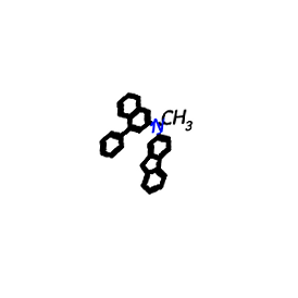 CN(c1ccc2c(c1)Cc1ccccc1-2)c1cc2c(c(-c3ccccc3)c1)C=CCC2